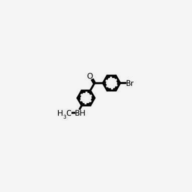 CBc1ccc(C(=O)c2ccc(Br)cc2)cc1